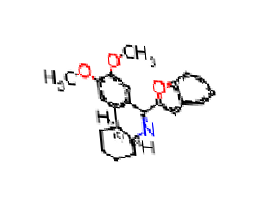 COc1cc2c(cc1OC)[C@@H]1CCCC[C@@H]1N=C2c1cc2ccccc2o1